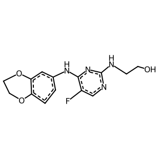 OCCNc1ncc(F)c(Nc2ccc3c(c2)OCCO3)n1